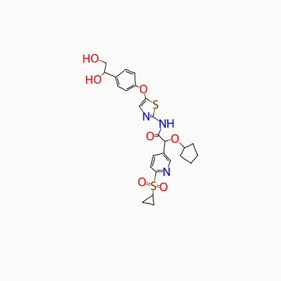 O=C(Nc1ncc(Oc2ccc(C(O)CO)cc2)s1)C(OC1CCCC1)c1ccc(S(=O)(=O)C2CC2)nc1